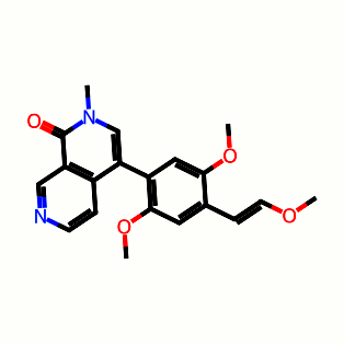 CO/C=C/c1cc(OC)c(-c2cn(C)c(=O)c3cnccc23)cc1OC